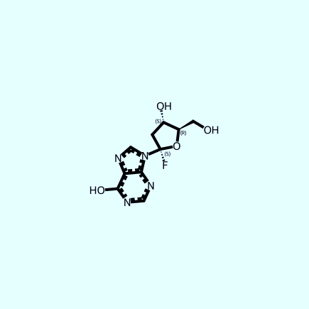 OC[C@H]1O[C@@](F)(n2cnc3c(O)ncnc32)C[C@@H]1O